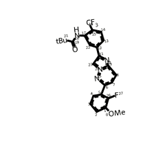 COc1cccc(-c2ccc3nc(-c4ccc(C(F)(F)F)c(NC(=O)C(C)(C)C)c4)cn3n2)c1F